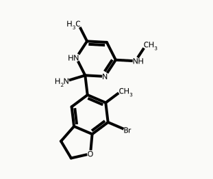 CNC1=NC(N)(c2cc3c(c(Br)c2C)OCC3)NC(C)=C1